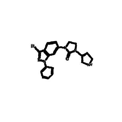 CCc1nn(-c2ccccc2)c2cc(N3CCN(C4CCNC4)C3=O)ccc12